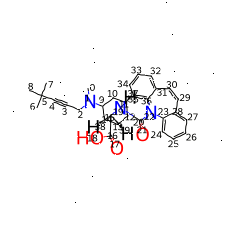 CN(CC#CC(C)(C)C)C1C[C@@H]2CC[C@H]1[C@@H](C(=O)O)N2C(=O)N1c2ccccc2C=Cc2ccccc21